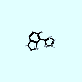 Cc1ccc2c(c1C1=NN=N[N]1)NCC2